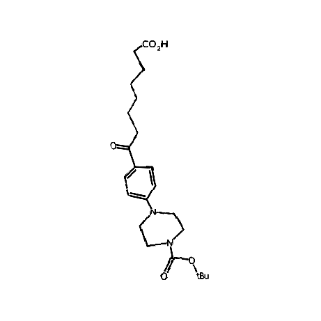 CC(C)(C)OC(=O)N1CCN(c2ccc(C(=O)CCCCCCC(=O)O)cc2)CC1